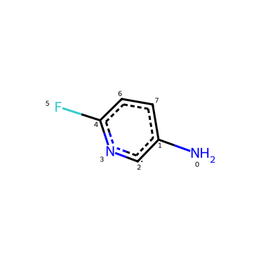 Nc1[c]nc(F)cc1